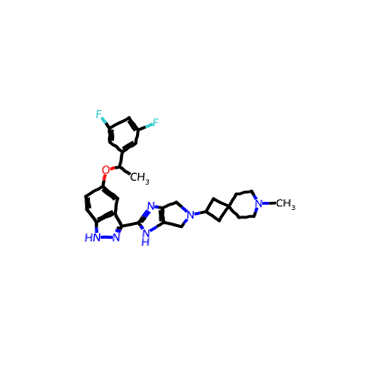 CC(Oc1ccc2[nH]nc(-c3nc4c([nH]3)CN(C3CC5(CCN(C)CC5)C3)C4)c2c1)c1cc(F)cc(F)c1